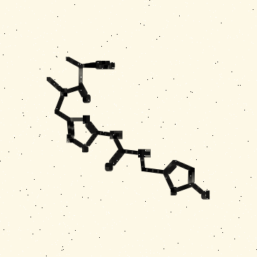 CO[C@H](C)C(=O)N(C)Cc1nsc(NC(=O)NCc2ccc(Cl)s2)n1